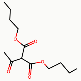 CCCCOC(=O)C(C(C)=O)C(=O)OCCCC